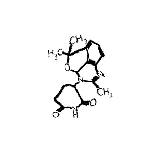 CC1=Nc2cccc3c2C(OC3(C)C)N1C1CCC(=O)NC1=O